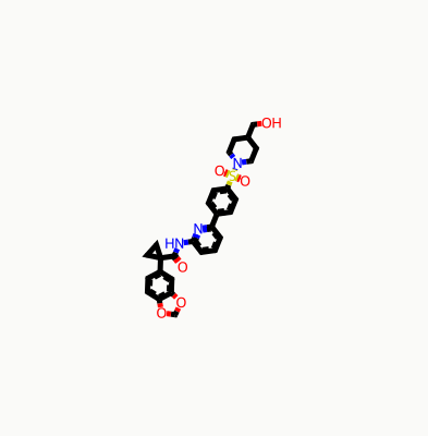 O=C(Nc1cccc(-c2ccc(S(=O)(=O)N3CCC(CO)CC3)cc2)n1)C1(c2ccc3c(c2)OCO3)CC1